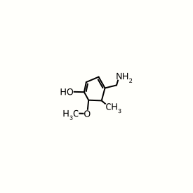 COC1C(O)=CC=C(CN)C1C